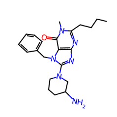 CCCCc1nc2nc(N3CCCC(N)C3)n(Cc3ccccc3)c2c(=O)n1C